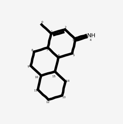 CC1=CC(=N)CC2C1CCC1CCCCC12